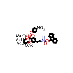 COC(=O)[C@H]1O[C@@H](Oc2cc(CCCNC(=O)OCC3c4ccccc4-c4ccccc43)ccc2COC(=O)Oc2ccc([N+](=O)[O-])cc2)[C@H](OC(C)=O)[C@@H](OC(C)=O)[C@@H]1OC(C)=O